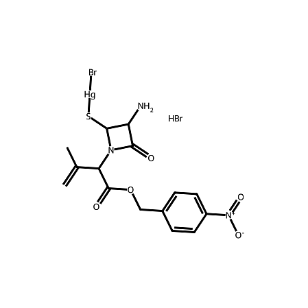 Br.C=C(C)C(C(=O)OCc1ccc([N+](=O)[O-])cc1)N1C(=O)C(N)C1[S][Hg][Br]